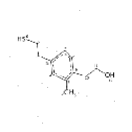 Cc1cc(CCS)ccc1CCO